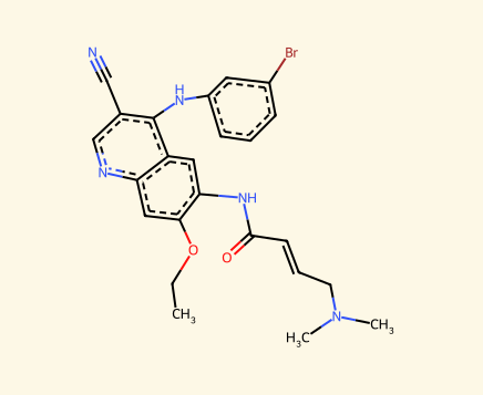 CCOc1cc2ncc(C#N)c(Nc3cccc(Br)c3)c2cc1NC(=O)C=CCN(C)C